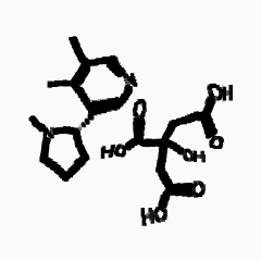 Cc1cncc([C@@H]2CCCN2C)c1C.O=C(O)CC(O)(CC(=O)O)C(=O)O